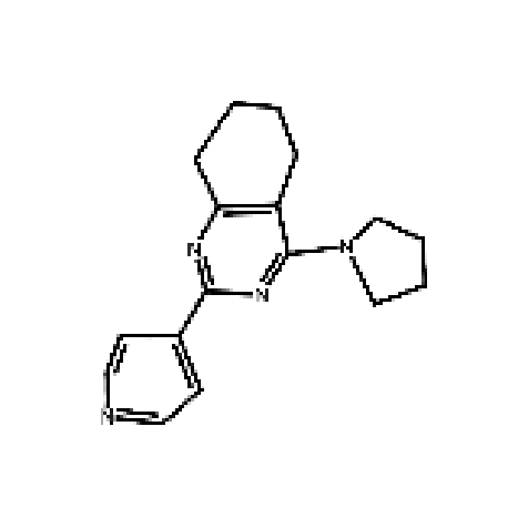 c1cc(-c2nc3c(c(N4CCCC4)n2)CCCC3)ccn1